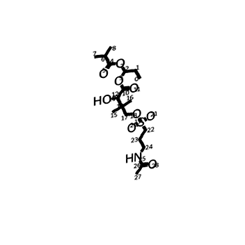 CCC(OC(=O)C(C)C)OC(=O)[C@H](O)C(C)(C)COS(=O)(=O)CCCNC(C)=O